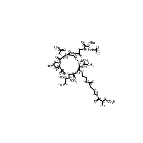 C=C(C)N/C1=C(\SCCNC(=O)CCCNC(=O)C(CC)CC(=O)O)NC(=O)[C@H]([C@@H](C)[C@@H](O)CO)NC(=O)[C@@H]2C[C@@H](O)CN2C(=O)[C@H](CC(N)=O)NC(=O)[C@@H](NC(=O)CNC(=O)[C@@H](NC(=O)CC)[C@@H](C)CC)C[S+]1[O-]